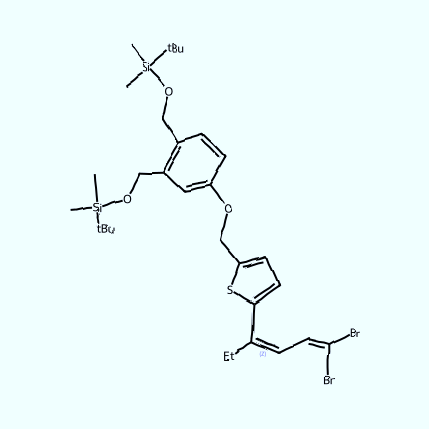 CC/C(=C/C=C(Br)Br)c1ccc(COc2ccc(CO[Si](C)(C)C(C)(C)C)c(CO[Si](C)(C)C(C)(C)C)c2)s1